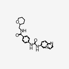 O=C(Nc1ccc(C(=O)NCC2CCCCO2)cc1)Nc1ccc2nccn2c1